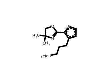 CCCCCCCCCCCCc1ccsc1C1=NC(C)(C)CO1